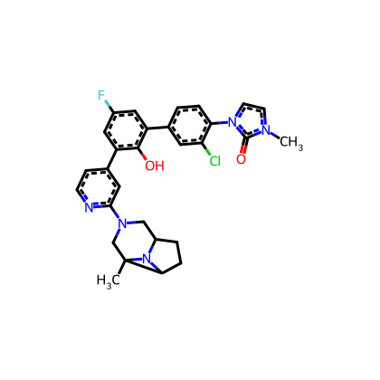 Cn1ccn(-c2ccc(-c3cc(F)cc(-c4ccnc(N5CC6CCC7N6C7(C)C5)c4)c3O)cc2Cl)c1=O